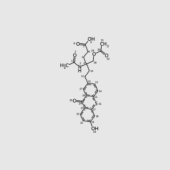 CC(=O)NC(CCC(=O)O)(CCc1ccc2sc3cc(O)ccc3c(=O)c2c1)COC(C)=O